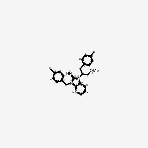 COCC(Cc1ccc(C)cc1)n1c(=N)n(Cc2ccc(C)cc2)c2ncccc21